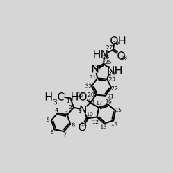 CCC(c1ccccc1)N1C(=O)c2ccccc2C1(O)c1ccc2[nH]c(NC(=O)O)nc2c1